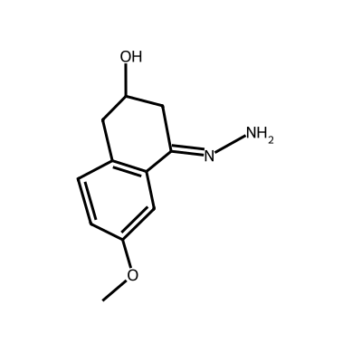 COc1ccc2c(c1)C(=NN)CC(O)C2